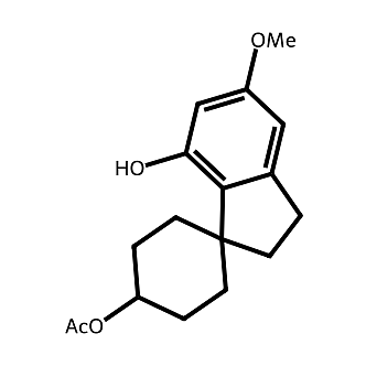 COc1cc(O)c2c(c1)CCC21CCC(OC(C)=O)CC1